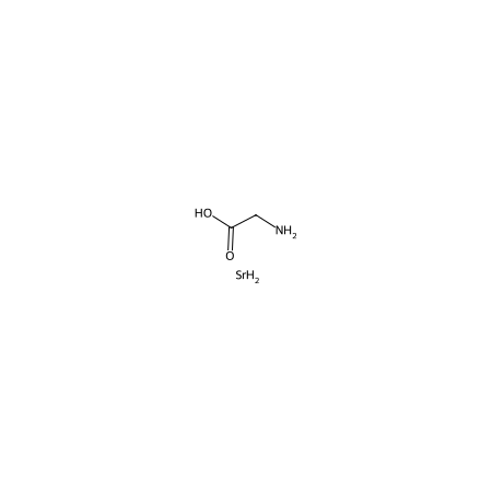 NCC(=O)O.[SrH2]